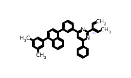 C=C/C(=C\C)c1nc(-c2ccccc2)cc(-c2cccc(-c3ccc(-c4cc(C)cc(C)c4)c4ccccc34)c2)n1